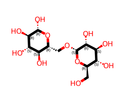 OC[C@H]1O[C@H](OC[C@H]2O[C@@H](O)[C@H](O)[C@@H](O)[C@@H]2O)[C@H](O)[C@@H](O)[C@@H]1O